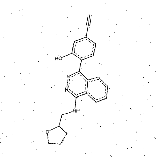 C#Cc1ccc(-c2nnc(NCC3CCCO3)c3ccccc23)c(O)c1